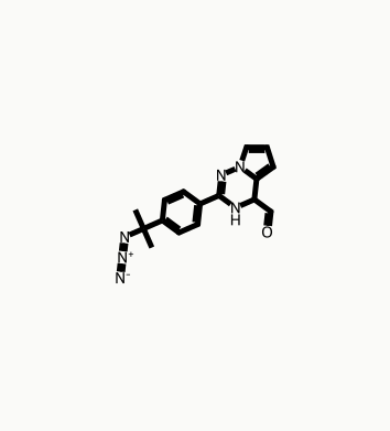 CC(C)(N=[N+]=[N-])c1ccc(C2=Nn3cccc3C(C=O)N2)cc1